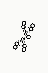 CC(C)(OP1Oc2ccc3ccccc3c2Cc2c(ccc3ccccc23)O1)c1ccccc1OP1Oc2ccc3ccccc3c2Cc2c(ccc3ccccc23)O1